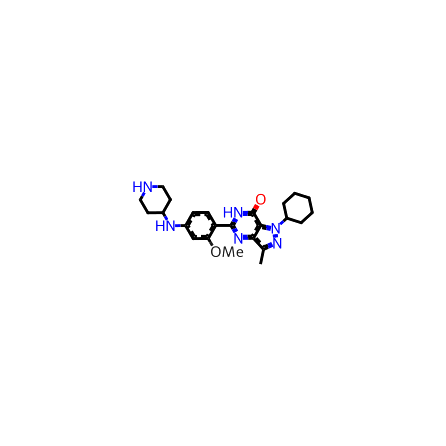 COc1cc(NC2CCNCC2)ccc1-c1nc2c(C)nn(C3CCCCC3)c2c(=O)[nH]1